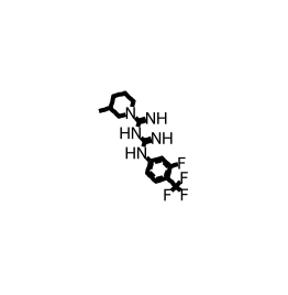 CC1CCCN(C(=N)NC(=N)Nc2ccc(C(F)(F)F)c(F)c2)C1